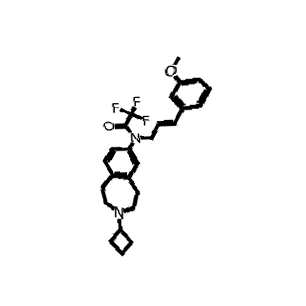 COc1cccc(/C=C/CN(C(=O)C(F)(F)F)c2ccc3c(c2)CCN(C2CCC2)CC3)c1